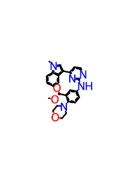 COC(=O)c1cc(Nc2nccc(-c3cn(C)c4ccccc34)n2)ccc1N1CCOCC1